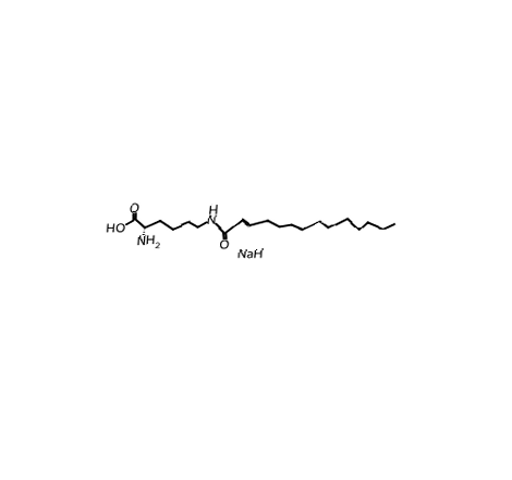 CCCCCCCCCCCCCC(=O)NCCCC[C@H](N)C(=O)O.[NaH]